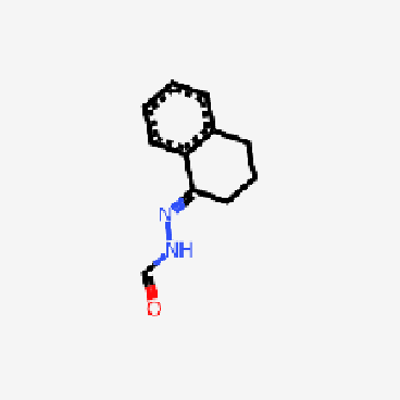 O=CNN=C1CCCc2ccccc21